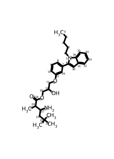 CCCCCn1c(-c2cccc(OCC(O)COC(=O)C(C)C(N)CC(C)(C)C)c2)cc2ccccc21